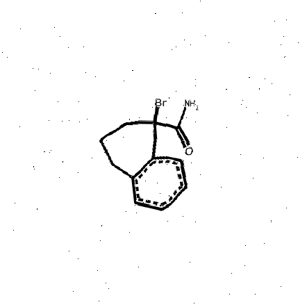 NC(=O)C1(Br)CCCc2ccccc21